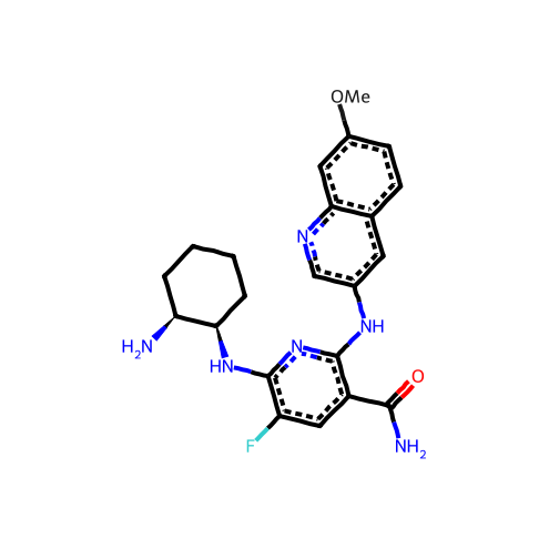 COc1ccc2cc(Nc3nc(N[C@@H]4CCCC[C@@H]4N)c(F)cc3C(N)=O)cnc2c1